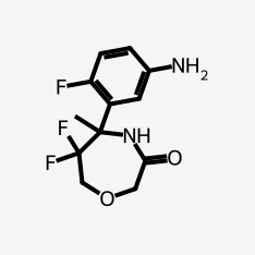 CC1(c2cc(N)ccc2F)NC(=O)COCC1(F)F